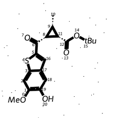 COc1cc2sc(C(=O)[C@@H]3[C@H](C)[C@@H]3C(=O)OC(C)(C)C)cc2cc1O